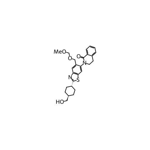 COCOCc1cc2nc([C@H]3CC[C@H](CO)CC3)sc2cc1N1CCc2ccccc2C1=O